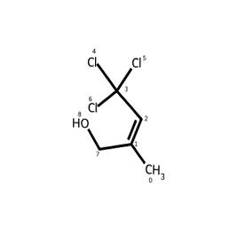 CC(=CC(Cl)(Cl)Cl)CO